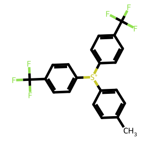 Cc1ccc([S+](c2ccc(C(F)(F)F)cc2)c2ccc(C(F)(F)F)cc2)cc1